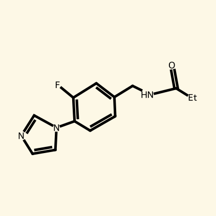 CCC(=O)NCc1ccc(-n2ccnc2)c(F)c1